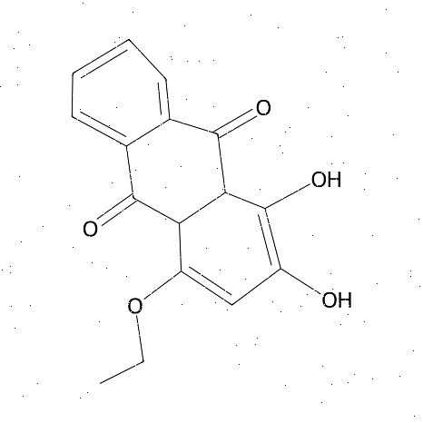 CCOC1=CC(O)=C(O)C2C(=O)c3ccccc3C(=O)C12